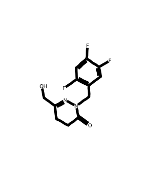 O=C1CCC(CO)=NN1Cc1cc(F)c(F)cc1F